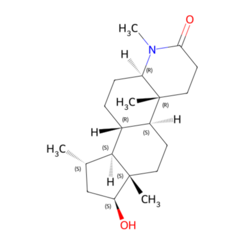 C[C@H]1C[C@H](O)[C@@]2(C)CC[C@H]3[C@@H](CC[C@H]4N(C)C(=O)CC[C@]34C)[C@H]12